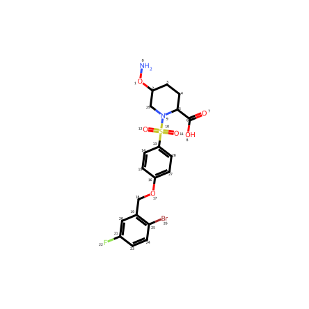 NOC1CCC(C(=O)O)N(S(=O)(=O)c2ccc(OCc3cc(F)ccc3Br)cc2)C1